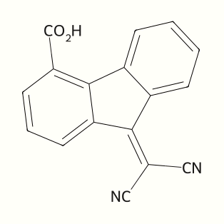 N#CC(C#N)=C1c2ccccc2-c2c(C(=O)O)cccc21